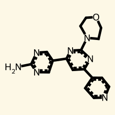 Nc1ncc(-c2cc(-c3ccncc3)nc(N3CCOCC3)n2)cn1